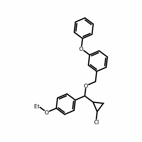 CCOc1ccc(C(OCc2cccc(Oc3ccccc3)c2)C2CC2Cl)cc1